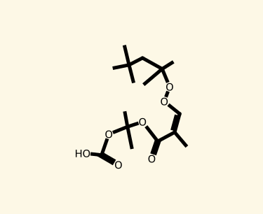 CC(=COOC(C)(C)CC(C)(C)C)C(=O)OC(C)(C)OC(=O)O